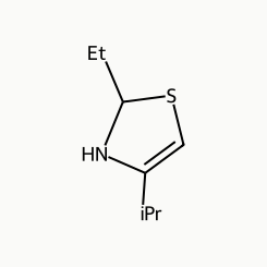 CCC1NC(C(C)C)=CS1